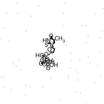 Cc1cn([C@H]2CC[C@@H](COP(=O)(O)OP(=O)(O)OP(=O)(O)O)O2)c(=S)[nH]c1=O